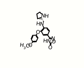 COc1ccc(Oc2cc(-c3noc(=O)[nH]3)ccc2NC[C@@H]2CCCN2)cc1